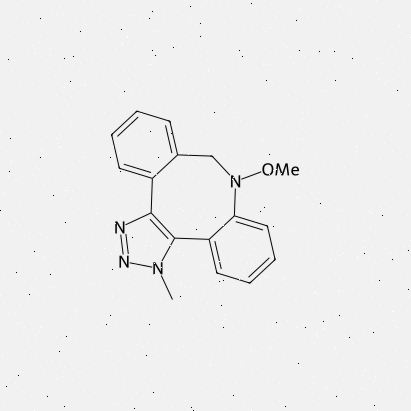 CON1Cc2ccccc2-c2nnn(C)c2-c2ccccc21